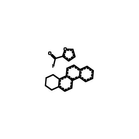 O=C(F)c1ccco1.c1ccc2c(c1)ccc1c3c(ccc12)CCCC3